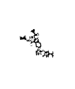 Cn1nc(C(F)F)cc1Nc1nncn1[C@H]1CCc2sc(NC(=O)C3CC3)c(C(=O)NC[C@@H]3CC34CC4)c2C1